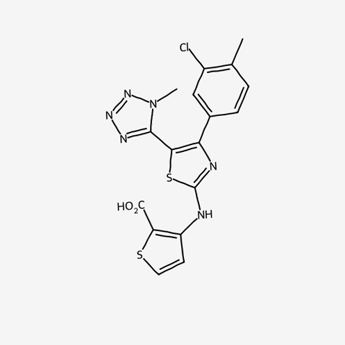 Cc1ccc(-c2nc(Nc3ccsc3C(=O)O)sc2-c2nnnn2C)cc1Cl